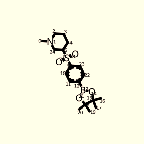 CN1CCCC(S(=O)(=O)c2ccc(B3OC(C)(C)C(C)(C)O3)cc2)C1